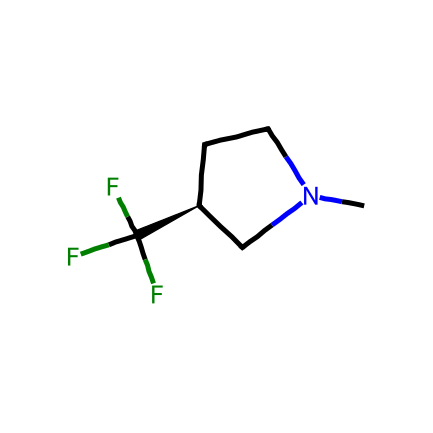 CN1CC[C@H](C(F)(F)F)C1